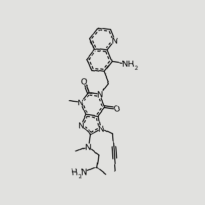 CC#CCn1c(N(C)CC(C)N)nc2c1c(=O)n(Cc1ccc3cccnc3c1N)c(=O)n2C